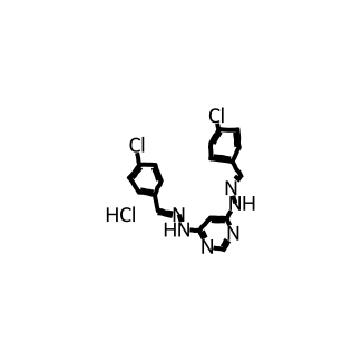 Cl.Clc1ccc(C=NNc2cc(NN=Cc3ccc(Cl)cc3)ncn2)cc1